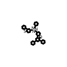 c1ccc(-c2cc(-c3ccccc3)c3oc4ccc(-c5nc(-c6ccccc6)nc(-c6ccc7sc8ccccc8c7c6)n5)cc4c3c2)cc1